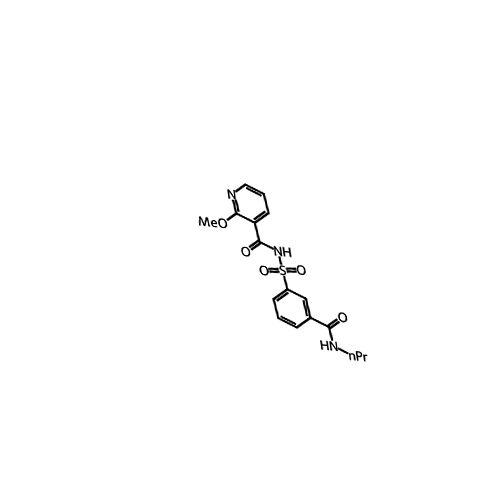 CCCNC(=O)c1cccc(S(=O)(=O)NC(=O)c2cccnc2OC)c1